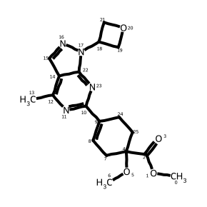 COC(=O)C1(OC)CC=C(c2nc(C)c3cnn(C4COC4)c3n2)CC1